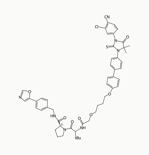 CC(C)(C)C(NC(=O)COCCCCOc1ccc(-c2ccc(N3C(=S)N(c4ccc(C#N)c(Cl)c4)C(=O)C3(C)C)cc2)cc1)C(=O)N1CCC[C@H]1C(=O)NCc1ccc(-c2cnco2)cc1